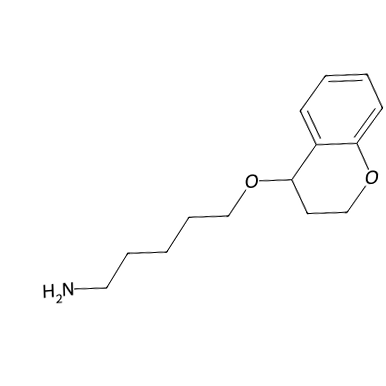 NCCCCCOC1CCOc2ccccc21